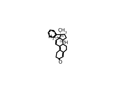 C[C@]12C=CC3=C4CCC(=O)C=C4CCC3[C@@H]1CC[C@]2(C)c1ccccc1